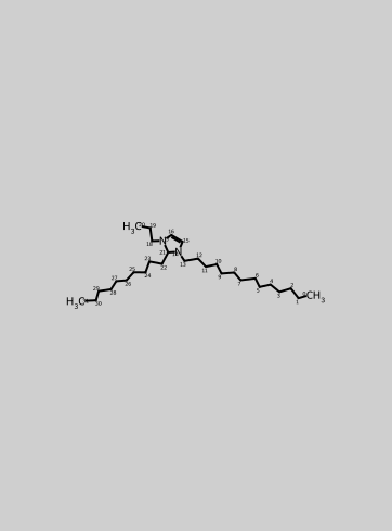 CCCCCCCCCCCCCCN1C=CN(CCC)C1CCCCCCCCCC